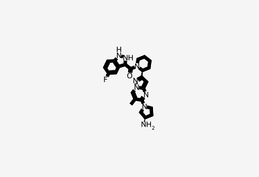 Cc1cn2nc([C@@H]3CCCCN3C(=O)C3NNc4ccc(F)cc43)cc2nc1N1CC[C@H](N)C1